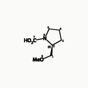 COC[C@@H]1CCCN1C(=O)O